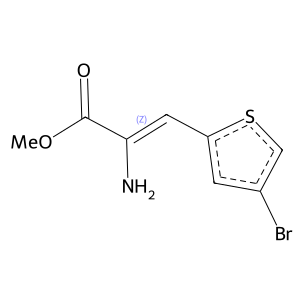 COC(=O)/C(N)=C/c1cc(Br)cs1